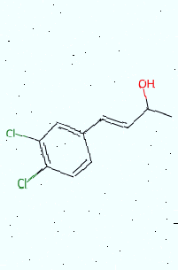 CC(O)C=Cc1ccc(Cl)c(Cl)c1